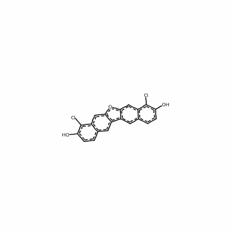 Oc1ccc2cc3c(cc2c1Cl)oc1cc2c(Cl)c(O)ccc2cc13